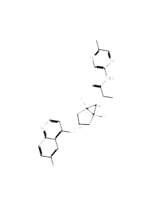 Cc1cnc(NC(=O)C(C)[C@@H]2[C@@H]3C[C@@H](Oc4ccnc5ccc(F)cc45)C[C@@H]32)cn1